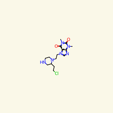 Cn1c(=O)c2c(ncn2CCN2CCNCC2CCCl)n(C)c1=O